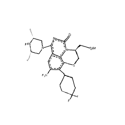 COC[C@H]1CSc2c(C3CCC(F)(F)CC3)c(C(F)(F)F)cc3c(N4C[C@@H](C)N[C@@H](C)C4)nc(=O)n1c23